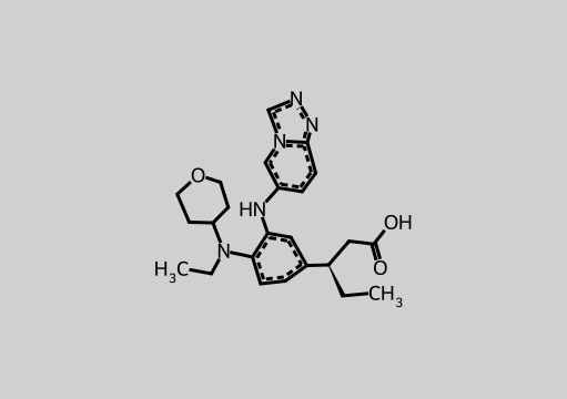 CC[C@H](CC(=O)O)c1ccc(N(CC)C2CCOCC2)c(Nc2ccc3nncn3c2)c1